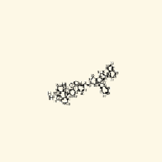 CC1(C)c2cc(/C=C/c3ccc4c(c3)C3(Cc5ccccc5C3)c3cc(N5CCCc6ccccc65)ccc3-4)ccc2-c2ccc(N3c4ccccc4C(C)(C)c4ccccc43)cc21